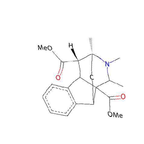 COC(=O)[C@H]1C2c3ccccc3C3C[C@]1(C)N(C)C(C)C32C(=O)OC